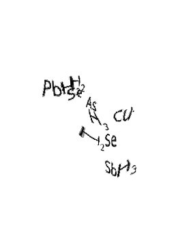 [AsH3].[Cu].[PbH2].[SbH3].[SeH2].[SeH2]